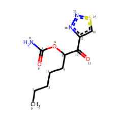 CCCCCC(OC(N)=O)C(=O)c1csnn1